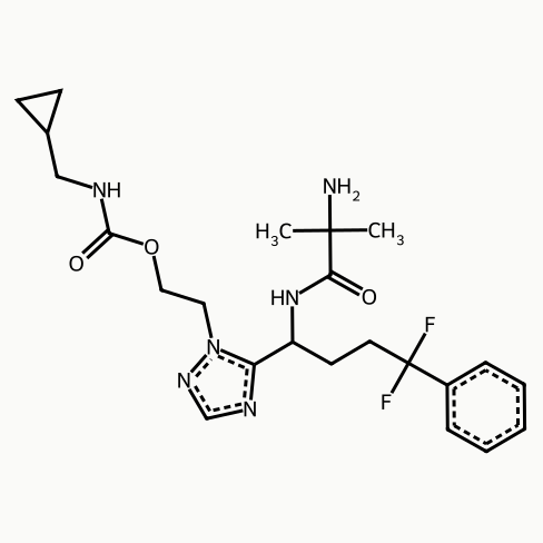 CC(C)(N)C(=O)NC(CCC(F)(F)c1ccccc1)c1ncnn1CCOC(=O)NCC1CC1